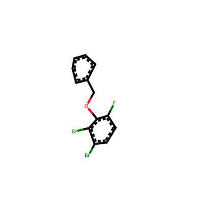 Fc1ccc(Br)c(Br)c1OCc1ccccc1